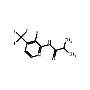 CC(C)C(=O)Nc1nccc(C(F)(F)F)c1F